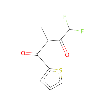 CC(C(=O)c1cccs1)C(=O)C(F)F